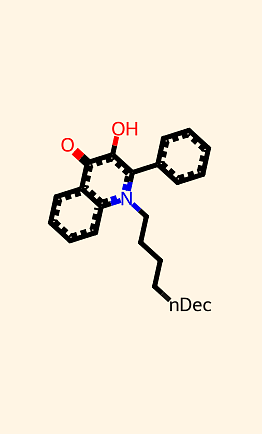 CCCCCCCCCCCCCCn1c(-c2ccccc2)c(O)c(=O)c2ccccc21